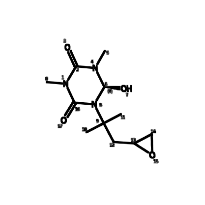 CN1C(=O)N(C)[C@@H](O)N(C(C)(C)CC2CO2)C1=O